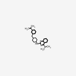 C=C(C)c1cccc(CC2CCC(Nc3nc(N(C)C)c4ccccc4n3)CC2)c1